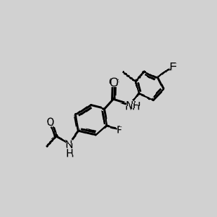 CC(=O)Nc1ccc(C(=O)Nc2ccc(F)cc2C)c(F)c1